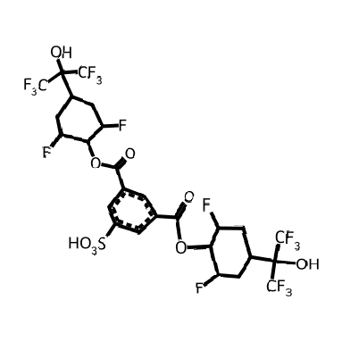 O=C(OC1C(F)CC(C(O)(C(F)(F)F)C(F)(F)F)CC1F)c1cc(C(=O)OC2C(F)CC(C(O)(C(F)(F)F)C(F)(F)F)CC2F)cc(S(=O)(=O)O)c1